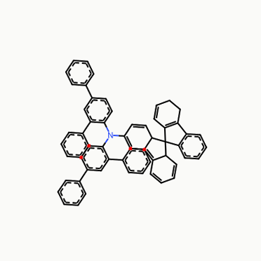 C1=CC2=C3C=C(N(c4ccc(-c5ccccc5)cc4-c4ccccc4)c4ccc(-c5ccccc5)cc4-c4ccccc4)C=CC3C3(C4=C(CCC=C4)c4ccccc43)C2C=C1